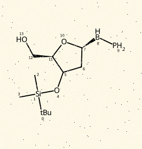 CC(C)(C)[Si](C)(C)OC1C[C@H](BP)O[C@@H]1CO